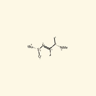 CN[C@@H](C)/C(C)=N/[S@+]([O-])C(C)(C)C